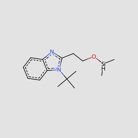 C[SiH](C)OCCc1nc2ccccc2n1C(C)(C)C